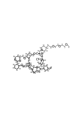 COCCOCCOCCC1CCN(C[C@@H]2COc3ccc(OCc4ccnc(-c5ccccc5OC)n4)c(c3)C[C@H](C(=O)O)Oc3ncnc4sc(-c5ccc(F)cc5)c(c34)-c3ccc(c(Cl)c3C)O2)CC1